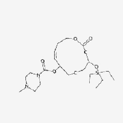 CC[Si](CC)(CC)OC1CCCC(OC(=O)N2CCN(C)CC2)C=CCCOC(=O)C1